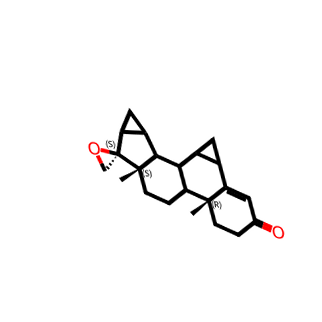 C[C@]12CCC(=O)C=C1C1CC1C1C2CC[C@@]2(C)C1C1CC1[C@@]21CO1